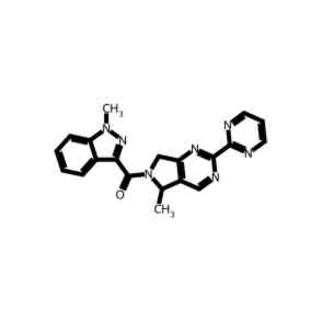 CC1c2cnc(-c3ncccn3)nc2CN1C(=O)c1nn(C)c2ccccc12